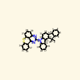 CC1(C)c2ccccc2-c2ccc3c(c21)c1ccccc1n3-c1nc2c3c(cccc3n1)Sc1ccccc1-2